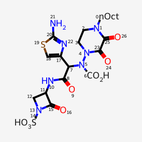 CCCCCCCCN1CCN(N(C(=O)O)C(C(=O)NC2CN(S(=O)(=O)O)C2=O)c2csc(N)n2)C(=O)C1=O